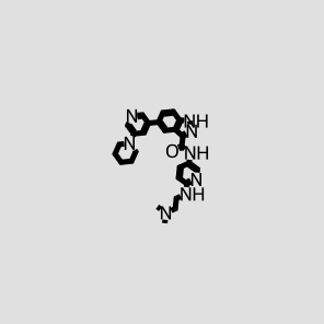 CN(C)CCNc1ccc(NC(=O)c2n[nH]c3ccc(-c4cncc(N5CCCCC5)c4)cc23)cn1